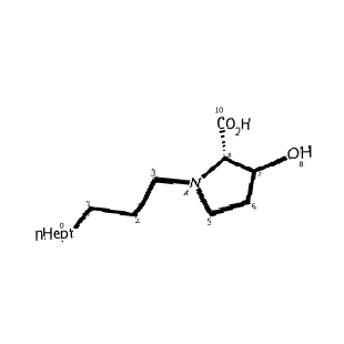 CCCCCCCCCCN1CCC(O)[C@H]1C(=O)O